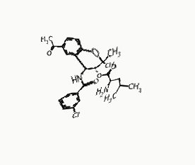 CC(=O)c1ccc2c(c1)[C@H](NC(=O)c1cccc(Cl)c1)[C@@H](OC(=O)[C@H](N)CC(C)C)C(C)(C)O2